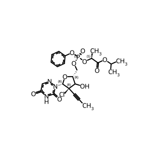 CC#C[C@@]1(Cl)C(O)[C@@H](CO[P@](=O)(Oc2ccccc2)O[C@@H](C)C(=O)OC(C)C)O[C@H]1n1ncc(=O)[nH]c1=O